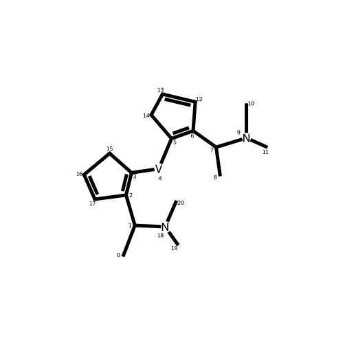 CC(C1=[C]([V][C]2=C(C(C)N(C)C)C=CC2)CC=C1)N(C)C